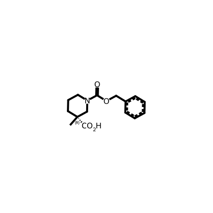 C[C@@]1(C(=O)O)CCCN(C(=O)OCc2ccccc2)C1